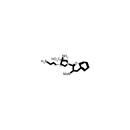 BCCC[C@H]1CN(C(=O)C(Cc2ccccc2)NC)C[C@@]1(N)C(=O)O